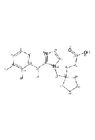 Cc1cccc(C(C)c2nccn2CC2(CCC(=O)O)CCCC2)c1C